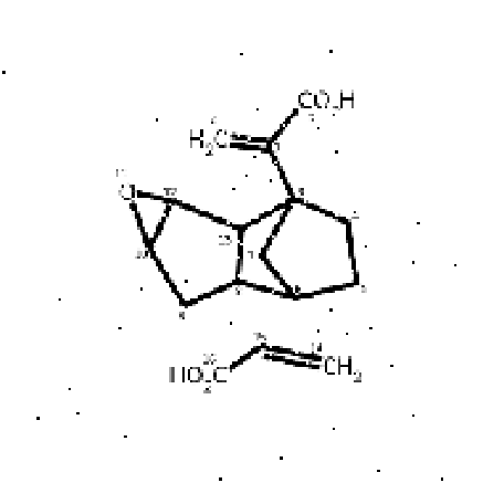 C=C(C(=O)O)C12CCC(C1)C1CC3OC3C12.C=CC(=O)O